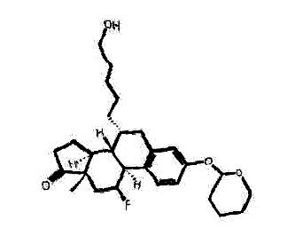 C[C@]12C[C@H](F)[C@@H]3c4ccc(OC5CCCCO5)cc4C[C@@H](CCCCCO)[C@H]3[C@@H]1CCC2=O